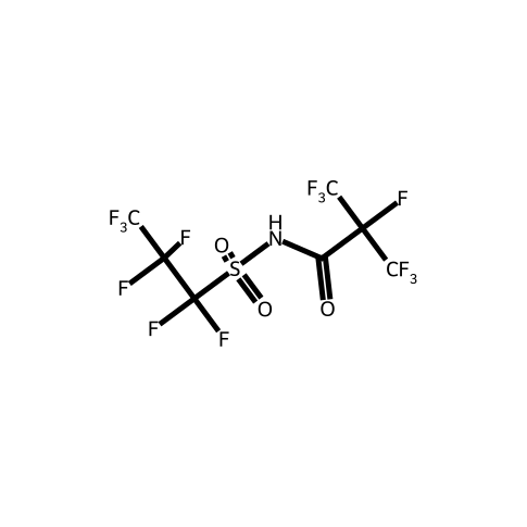 O=C(NS(=O)(=O)C(F)(F)C(F)(F)C(F)(F)F)C(F)(C(F)(F)F)C(F)(F)F